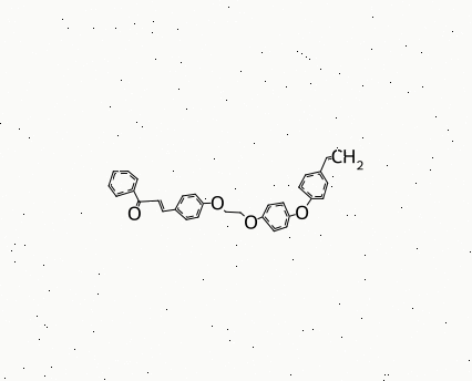 C=Cc1ccc(Oc2ccc(OCCOc3ccc(/C=C/C(=O)c4ccccc4)cc3)cc2)cc1